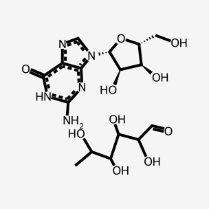 CC(O)C(O)C(O)C(O)C=O.Nc1nc2c(ncn2[C@@H]2O[C@H](CO)[C@@H](O)[C@H]2O)c(=O)[nH]1